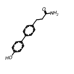 NC(=O)CCc1ccc(-c2ccc(O)cc2)cc1